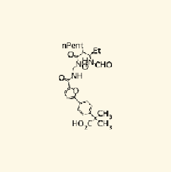 CCCCCC(C(=O)NCNC(=O)c1ccc(-c2ccc(C(C)(C)C(=O)O)cc2)o1)[C@@H](CC)N(O)C=O